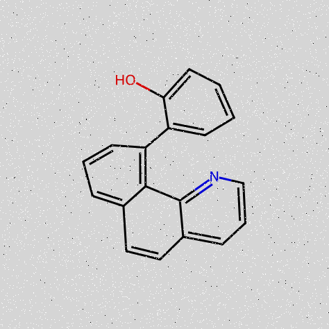 Oc1ccccc1-c1cccc2ccc3cccnc3c12